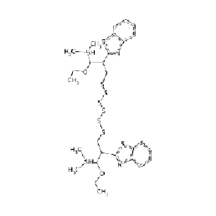 CCOC(C(CSSSSSSCC(c1nc2ccccc2s1)C(OCC)[SiH](C)C)c1nc2ccccc2s1)[SiH](C)C